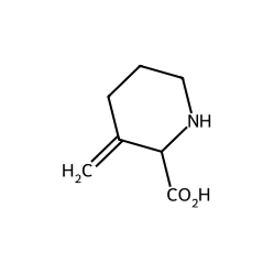 C=C1CCCNC1C(=O)O